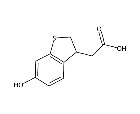 O=C(O)CC1CSc2cc(O)ccc21